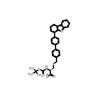 CC(C)(C)OC(=O)N[C@@H](CSCc1ccc(-c2ccc(-c3cccc4c3oc3ccccc34)cc2)cc1)C(=O)O